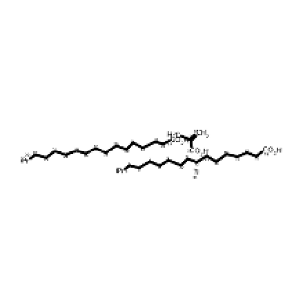 C=C(C)C(=O)O.CC(C)CCCCCCCCCCCCCCC(=O)O.CC(C)CCCCCCCCCCCCCCC(=O)O.[Ti]